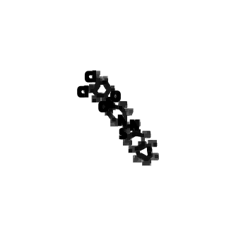 O=S(=O)(c1ccc(Cl)c(Cl)c1)C1CCN(c2nc(Cc3ccccc3)cs2)CC1